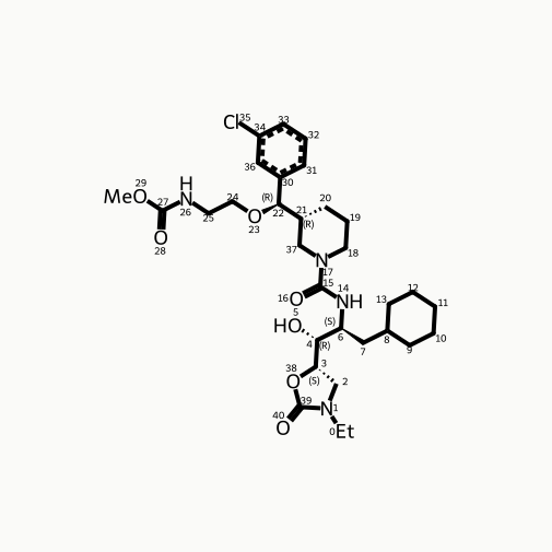 CCN1C[C@@H]([C@H](O)[C@H](CC2CCCCC2)NC(=O)N2CCC[C@@H]([C@@H](OCCNC(=O)OC)c3cccc(Cl)c3)C2)OC1=O